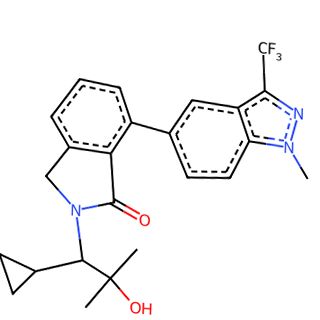 Cn1nc(C(F)(F)F)c2cc(-c3cccc4c3C(=O)N(C(C3CC3)C(C)(C)O)C4)ccc21